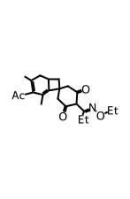 CCON=C(CC)C1C(=O)CC2(CC1=O)CC1CC(C)=C(C(C)=O)C(C)=C12